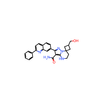 NC(=O)c1c(-c2ccc3ccc(-c4ccccc4)nc3c2)nn2c1NCCC21CC(CO)C1